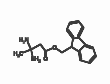 CC(N)(N)CC(=O)OCC1c2ccccc2-c2ccccc21